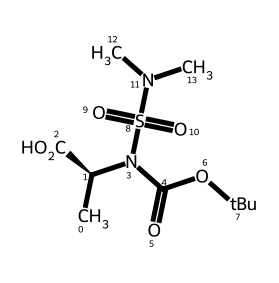 C[C@@H](C(=O)O)N(C(=O)OC(C)(C)C)S(=O)(=O)N(C)C